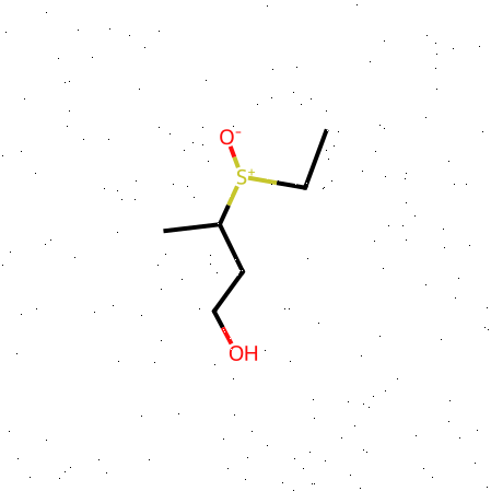 CC[S+]([O-])C(C)CCO